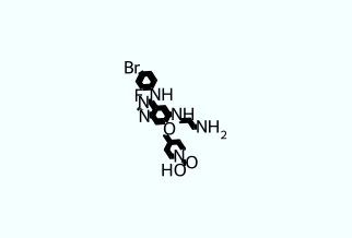 NCCCNc1cc2c(Nc3ccc(Br)cc3F)ncnc2cc1OCC1CCN(C(=O)O)CC1